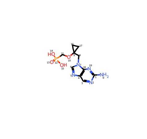 Nc1ncc2ncn(CC3(OCP(=O)(O)O)CC3)c2n1